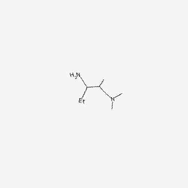 CCC(N)C(C)N(C)C